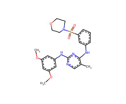 COc1cc(Nc2ncc(C)c(Nc3cccc(S(=O)(=O)N4CCOCC4)c3)n2)cc(OC)c1